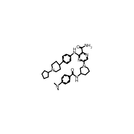 CN(C)c1ccc(C(=O)NC2CCCN(c3cnc(C(N)=O)c(Nc4ccc(C5CCN(C6CCCC6)CC5)cc4)n3)C2)cc1